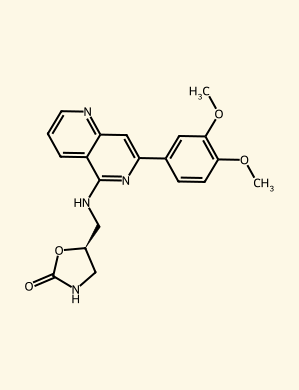 COc1ccc(-c2cc3ncccc3c(NC[C@H]3CNC(=O)O3)n2)cc1OC